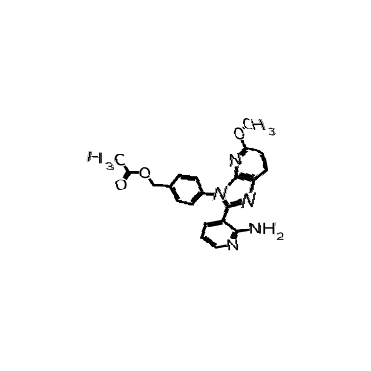 COc1ccc2nc(-c3cccnc3N)n(-c3ccc(COC(C)=O)cc3)c2n1